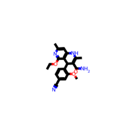 CCOc1nc(C)cc2c1C(c1ccc(C#N)cc1OC)C(C(N)=O)=C(C)N2